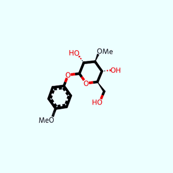 COc1ccc(OC2O[C@H](CO)[C@@H](O)[C@H](OC)[C@H]2O)cc1